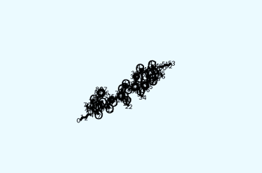 CCCCC[C@@H](C(=O)NCNC(=O)c1ccc(-c2cc(OCC)cc(O[PH](=O)Oc3cc(OCC)cc(-c4ccc(C(=O)NCNC(=O)[C@H](CCCCC)[C@@H](CC)N(C=O)OC(=O)Cc5ccccc5)o4)c3)c2)o1)[C@@H](CC)N(C=O)OC(=O)Cc1ccccc1